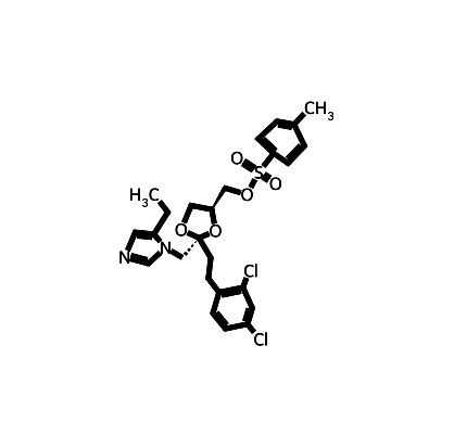 CCc1cncn1C[C@]1(CCc2ccc(Cl)cc2Cl)OC[C@@H](COS(=O)(=O)c2ccc(C)cc2)O1